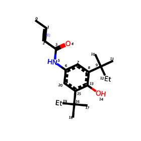 C/C=C/C(=O)Nc1cc(C(C)(C)CC)c(O)c(C(C)(C)CC)c1